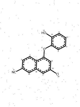 N#Cc1ccc2c(Oc3ccccc3O)cc(Cl)cc2c1